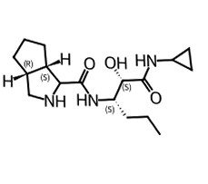 CCC[C@H](NC(=O)C1NC[C@@H]2CCC[C@H]12)[C@H](O)C(=O)NC1CC1